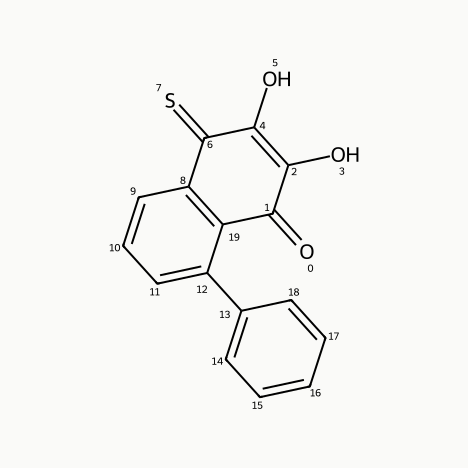 O=C1C(O)=C(O)C(=S)c2cccc(-c3ccccc3)c21